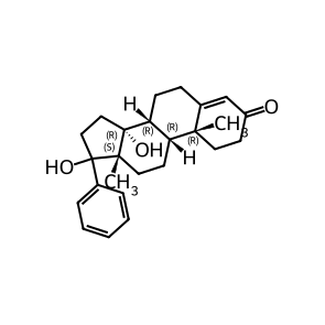 C[C@]12CCC(=O)C=C1CC[C@@H]1[C@H]2CC[C@]2(C)C(O)(c3ccccc3)CC[C@@]12O